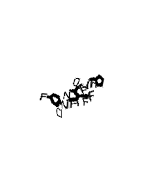 O=C(NCC1CCCC1)c1cnc(Nc2ccc(F)cc2Cl)cc1C(F)(F)F